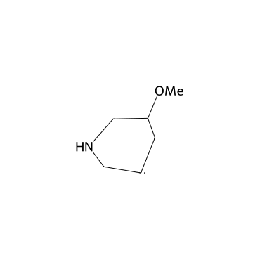 COC1C[CH]CNC1